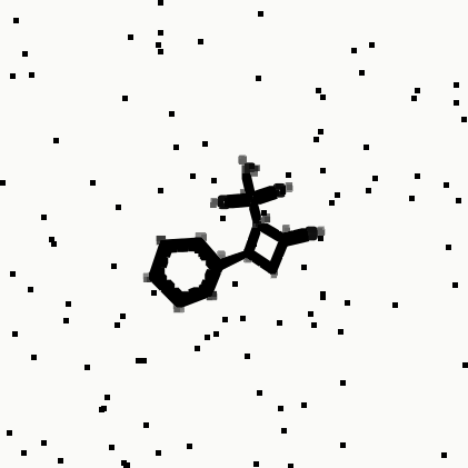 CC(C)S(=O)(=O)N1C(=O)C[C@H]1c1ccccc1